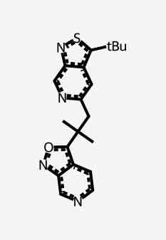 CC(C)(C)c1snc2cnc(CC(C)(C)c3onc4cnccc34)cc12